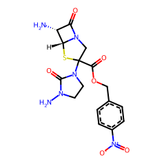 N[C@@H]1C(=O)N2CC(C(=O)OCc3ccc([N+](=O)[O-])cc3)(N3CCN(N)C3=O)S[C@H]12